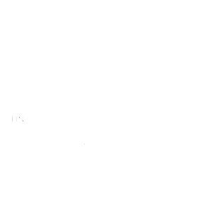 CCc1ccc(OC2CCNCC2)c(OC(F)F)c1